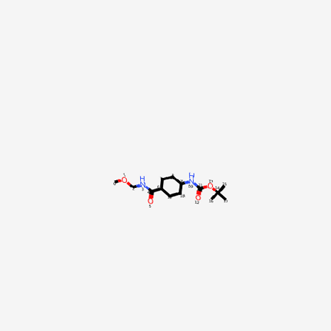 COCNC(=O)C1CCC(NC(=O)OC(C)(C)C)CC1